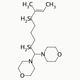 CC=C(C)[SiH2]CCC[SiH2]C(N1CCOCC1)N1CCOCC1